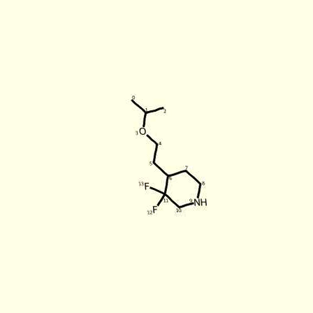 CC(C)OCCC1CCNCC1(F)F